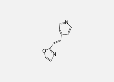 C(=Cc1ncco1)c1ccncc1